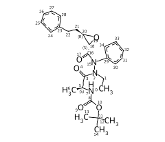 CCN(C(=O)[C@H](C)NC(=O)OC(C)(C)C)N(C(=O)[C@H]1O[C@@H]1CCc1ccccc1)c1ccccc1